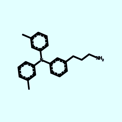 Cc1cccc(N(c2cccc(C)c2)c2cccc(CCCN)c2)c1